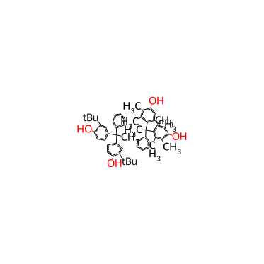 CC(C)(C)c1cc(C(C)(c2ccccc2)c2ccc(O)c(C(C)(C)C)c2)ccc1O.Cc1cc(O)c(C)c(C)c1C(C)(c1ccccc1)c1c(C)cc(O)c(C)c1C